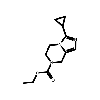 CCOC(=O)N1CCn2c(cnc2C2CC2)C1